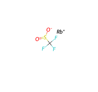 O=S([O-])C(F)(F)F.[Rb+]